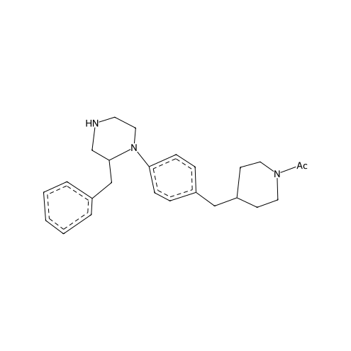 CC(=O)N1CCC(Cc2ccc(N3CCNCC3Cc3ccccc3)cc2)CC1